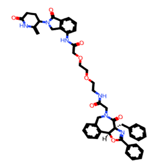 C=C1NC(=O)CCC1N1Cc2c(NC(=O)COCCOCCNC(=O)CN3Cc4ccccc4[C@@H]4OC(c5ccccc5)=N[C@]4(Cc4ccccc4)C3=O)cccc2C1=O